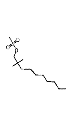 CCCCCCCCC(C)(C)COS(C)(=O)=O